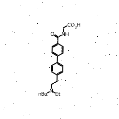 CCCCN(CC)CCc1ccc(-c2ccc(C(=O)NCC(=O)O)cc2)cc1